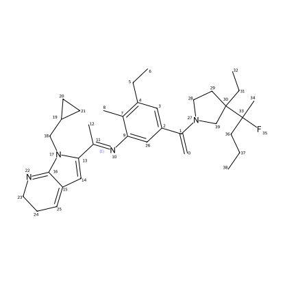 C=C(c1cc(CC)c(C)c(/N=C(\C)c2cc3c(n2CC2CC2)=NCCC=3)c1)N1CCC(CC)(C(C)(F)CCC)C1